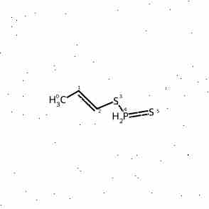 CC=CS[PH2]=S